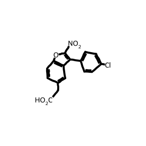 O=C(O)Cc1ccc2oc([N+](=O)[O-])c(-c3ccc(Cl)cc3)c2c1